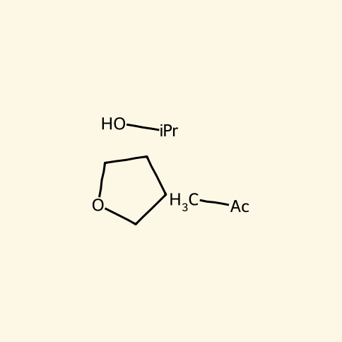 C1CCOC1.CC(C)=O.CC(C)O